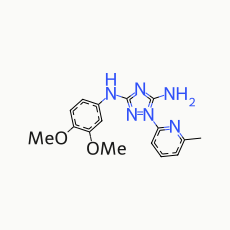 COc1ccc(Nc2nc(N)n(-c3cccc(C)n3)n2)cc1OC